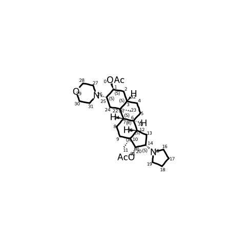 CC(=O)O[C@H]1C[C@@H]2CC[C@@H]3[C@H](CC[C@@]4(C)[C@H]3C[C@H](N3CCCC3)[C@@H]4OC(C)=O)[C@@]2(C)C[C@@H]1N1CCOCC1